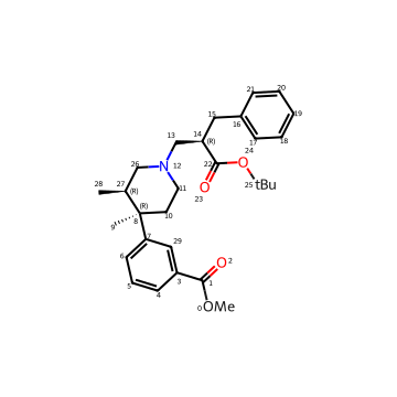 COC(=O)c1cccc([C@]2(C)CCN(C[C@@H](Cc3ccccc3)C(=O)OC(C)(C)C)C[C@@H]2C)c1